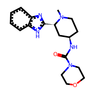 CN1CC[C@@H](NC(=O)N2CCOCC2)C[C@@H]1c1nc2ccccc2[nH]1